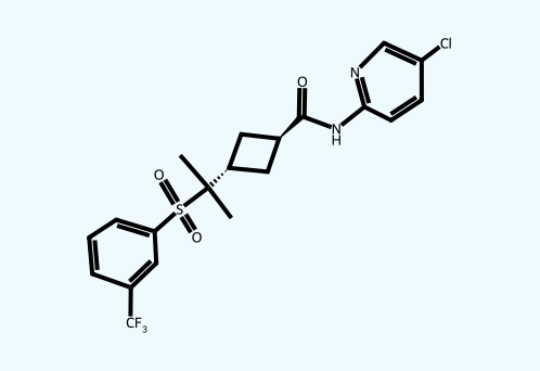 CC(C)([C@H]1C[C@H](C(=O)Nc2ccc(Cl)cn2)C1)S(=O)(=O)c1cccc(C(F)(F)F)c1